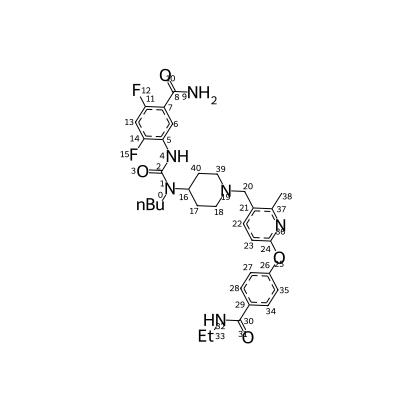 CCCCN(C(=O)Nc1cc(C(N)=O)c(F)cc1F)C1CCN(Cc2ccc(Oc3ccc(C(=O)NCC)cc3)nc2C)CC1